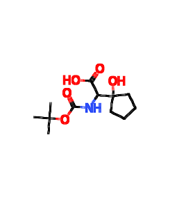 CC(C)(C)OC(=O)NC(C(=O)O)C1(O)CCCC1